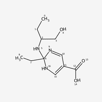 CCC(CO)NC1(CC)N=CC(C(=O)O)=CN1